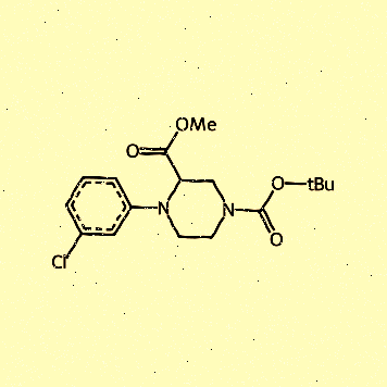 COC(=O)C1CN(C(=O)OC(C)(C)C)CCN1c1cccc(Cl)c1